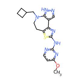 COc1ccnc(Nc2nc3c(s2)CCN(CC2CCC2)c2[nH]ncc2-3)n1